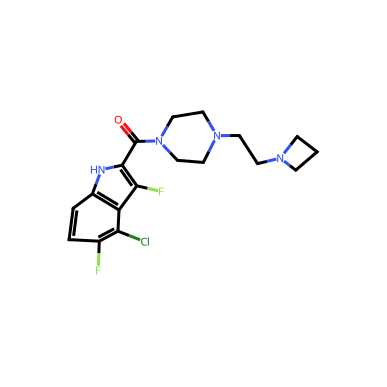 O=C(c1[nH]c2ccc(F)c(Cl)c2c1F)N1CCN(CCN2CCC2)CC1